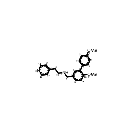 COc1ccc(-c2cc(CNCCc3ccncc3)ccc2OC)cc1